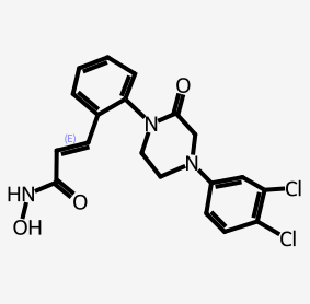 O=C(/C=C/c1ccccc1N1CCN(c2ccc(Cl)c(Cl)c2)CC1=O)NO